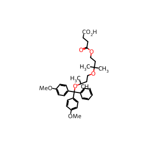 COc1ccc(C(OC(C)(C)CCOC(C)(C)CCOC(=O)CCC(=O)O)(c2ccccc2)c2ccc(OC)cc2)cc1